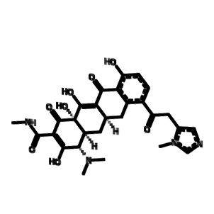 CNC(=O)C1=C(O)[C@@H](N(C)C)[C@@H]2C[C@@H]3Cc4c(C(=O)Cc5cncn5C)ccc(O)c4C(=O)C3=C(O)[C@]2(O)C1=O